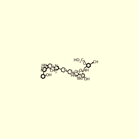 C#Cc1ccc(CNC(=O)[C@@H]2C[C@@H](O)CN2C(=O)[C@@H](NC(=O)N2CCC(N3CCC(c4cnc(N5CCc6[nH]c7nnc(-c8ccccc8O)cc7c6[C@H]5C)nc4)CC3)CC2)C(C)(C)C)c(OCC(=O)O)c1